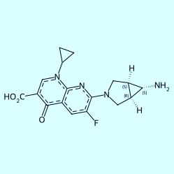 N[C@@H]1[C@H]2CN(c3nc4c(cc3F)c(=O)c(C(=O)O)cn4C3CC3)C[C@@H]12